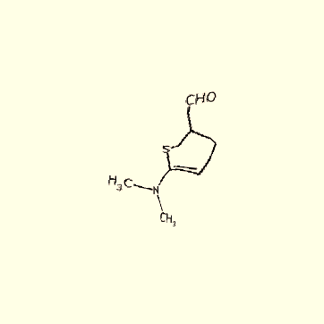 CN(C)C1=CCC(C=O)S1